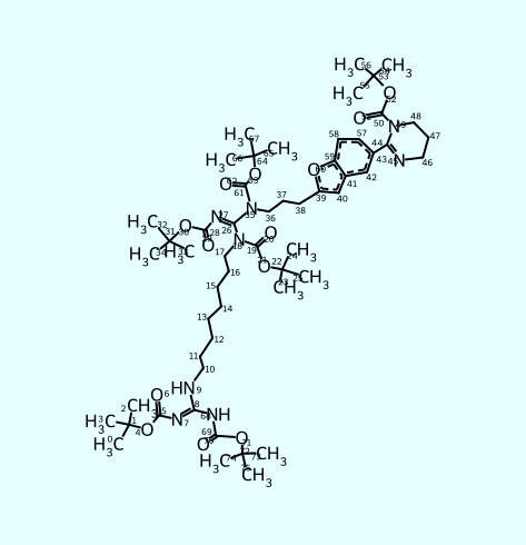 CC(C)(C)OC(=O)/N=C(\NCCCCCCCCN(C(=O)OC(C)(C)C)/C(=N\C(=O)OC(C)(C)C)N(CCCc1cc2cc(C3=NCCCN3C(=O)OC(C)(C)C)ccc2o1)C(=O)OC(C)(C)C)NC(=O)OC(C)(C)C